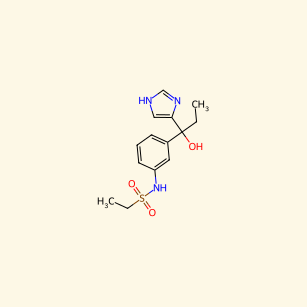 CCC(O)(c1cccc(NS(=O)(=O)CC)c1)c1c[nH]cn1